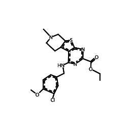 CCOC(=O)c1nc(NCc2ccc(OC)c(Cl)c2)c2c3c(sc2n1)CN(C)CC3